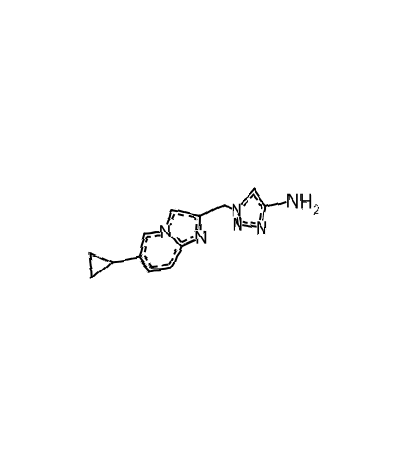 Nc1cn(Cc2cn3cc(C4CC4)ccc3n2)nn1